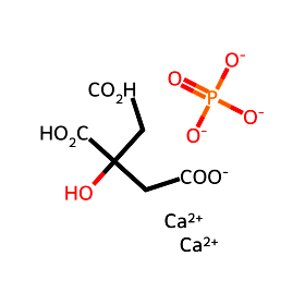 O=C([O-])CC(O)(CC(=O)O)C(=O)O.O=P([O-])([O-])[O-].[Ca+2].[Ca+2]